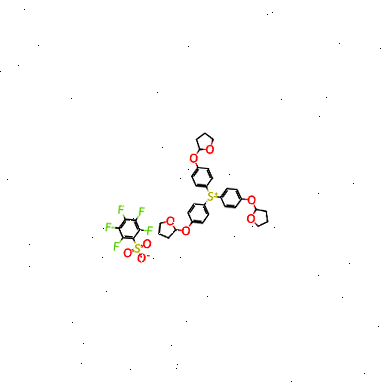 O=S(=O)([O-])c1c(F)c(F)c(F)c(F)c1F.c1cc([S+](c2ccc(OC3CCCO3)cc2)c2ccc(OC3CCCO3)cc2)ccc1OC1CCCO1